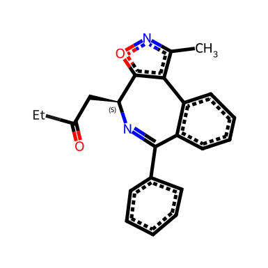 CCC(=O)C[C@@H]1N=C(c2ccccc2)c2ccccc2-c2c(C)noc21